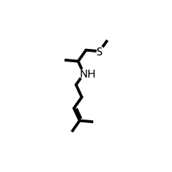 CSCC(C)NCCC=C(C)C